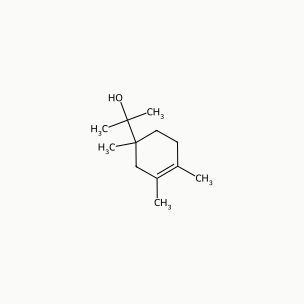 CC1=C(C)CC(C)(C(C)(C)O)CC1